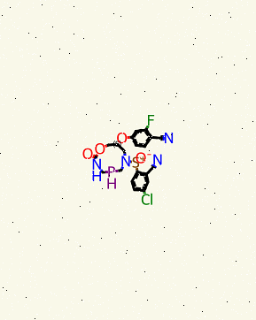 N#Cc1ccc(O[C@@H]2COC(=O)NCPCN([S+]([O-])c3ccc(Cl)cc3C#N)C2)cc1F